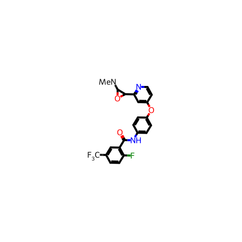 CNC1OC1c1cc(Oc2ccc(NC(=O)c3cc(C(F)(F)F)ccc3F)cc2)ccn1